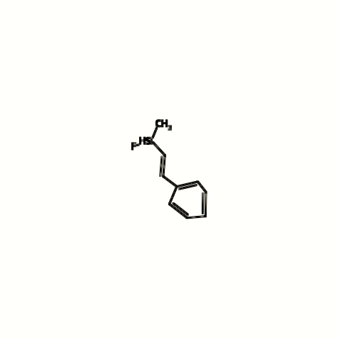 C[SiH](F)C=Cc1ccccc1